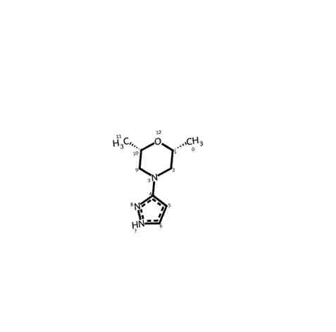 C[C@@H]1CN(c2cc[nH]n2)C[C@H](C)O1